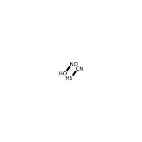 N#CS.O=NO